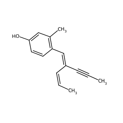 CC#CC(/C=C\C)=C/c1ccc(O)cc1C